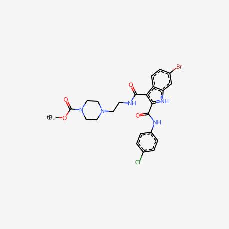 CC(C)(C)OC(=O)N1CCN(CCNC(=O)c2c(C(=O)Nc3ccc(Cl)cc3)[nH]c3cc(Br)ccc23)CC1